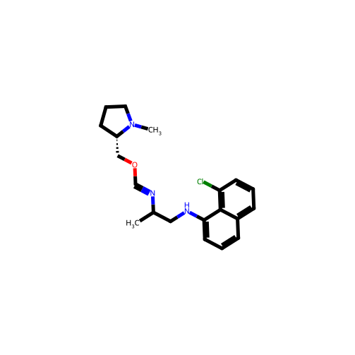 CC(CNc1cccc2cccc(Cl)c12)/N=C/OC[C@@H]1CCCN1C